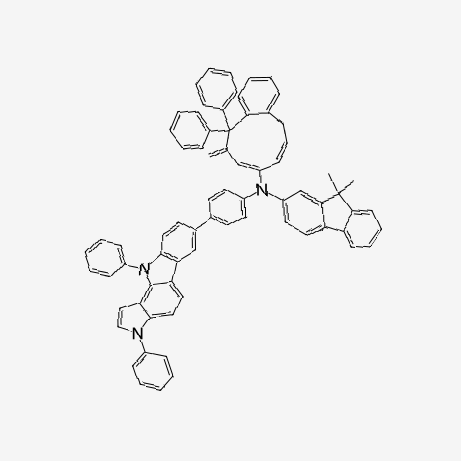 C=C1/C=C(N(c2ccc(-c3ccc4c(c3)c3ccc5c(ccn5-c5ccccc5)c3n4-c3ccccc3)cc2)c2ccc3c(c2)C(C)(C)c2ccccc2-3)\C=C/Cc2ccccc2C1(c1ccccc1)c1ccccc1